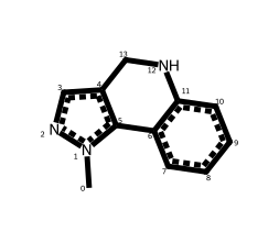 Cn1ncc2c1-c1ccccc1NC2